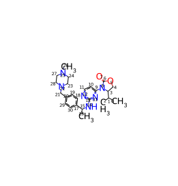 CC(C)C1COC(=O)N1c1ccnc(N[C@@H](C)c2ccc(CN3CCN(C)CC3)cc2)n1